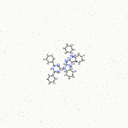 c1ccc(-c2nc(-c3ccccc3)nc(-n3c4ccccc4n4c5c6ccccc6n(-c6ccccc6)c5nc34)n2)cc1